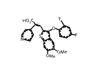 COc1cc2sc(/C=C(/C(=O)O)c3ccncc3)c(Oc3ccc(F)cc3F)c2cc1OC